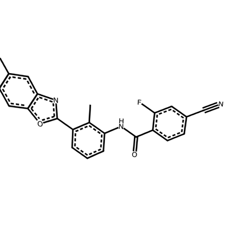 Cc1c(NC(=O)c2ccc(C#N)cc2F)cccc1-c1nc2cc(Cl)ccc2o1